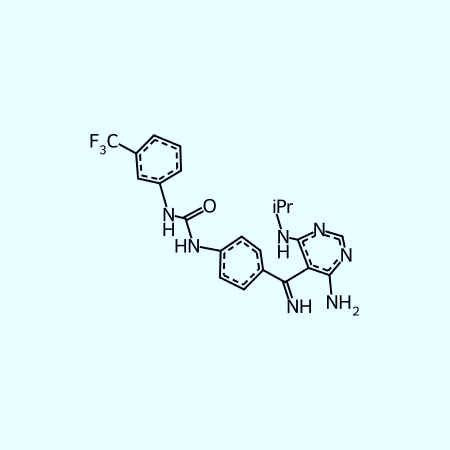 CC(C)Nc1ncnc(N)c1C(=N)c1ccc(NC(=O)Nc2cccc(C(F)(F)F)c2)cc1